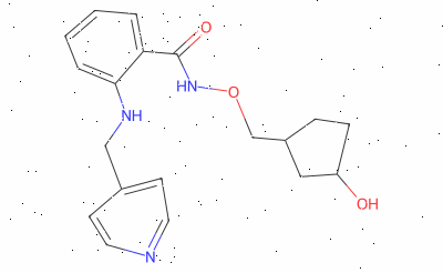 O=C(NOCC1CCC(O)C1)c1ccccc1NCc1ccncc1